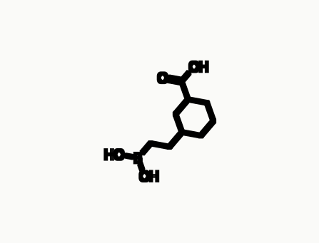 O=C(O)C1CCCC(CCB(O)O)C1